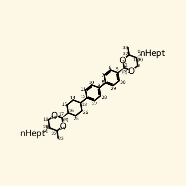 CCCCCCC[C@@H]1CO[C@@H](c2ccc(-c3ccc(C4CCC([C@@H]5OC[C@@H](CCCCCCC)C(C)O5)CC4)cc3)cc2)OC1C